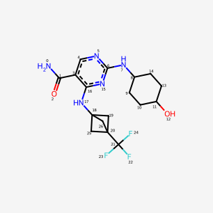 NC(=O)c1cnc(NC2CCC(O)CC2)nc1NC12CC(C(F)(F)F)(C1)C2